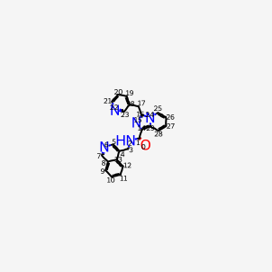 O=C(NCc1cncc2ccccc12)c1nc(Cc2cccnc2)n2ccccc12